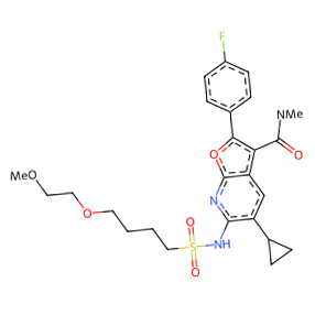 CNC(=O)c1c(-c2ccc(F)cc2)oc2nc(NS(=O)(=O)CCCCOCCOC)c(C3CC3)cc12